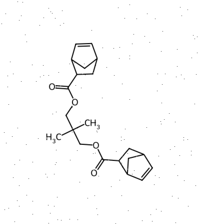 CC(C)(COC(=O)C1CC2C=CC1C2)COC(=O)C1CC2C=CC1C2